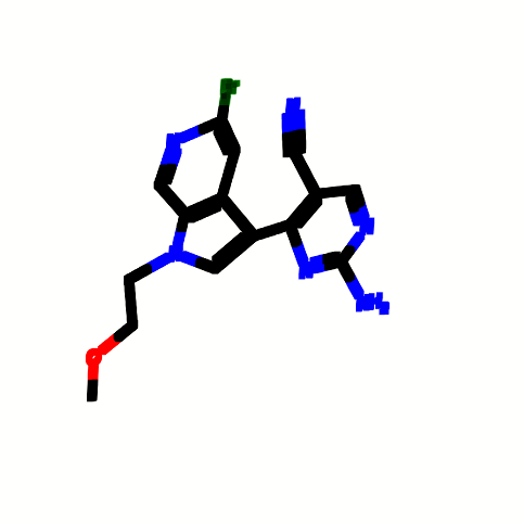 COCCn1cc(-c2nc(N)ncc2C#N)c2cc(Br)ncc21